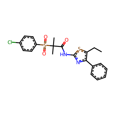 CCc1sc(NC(=O)C(C)(C)S(=O)(=O)c2ccc(Cl)cc2)nc1-c1ccccc1